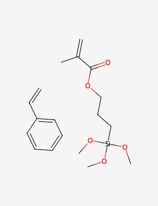 C=C(C)C(=O)OCCC[Si](OC)(OC)OC.C=Cc1ccccc1